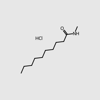 CCCCCCCCCC(=O)NC.Cl